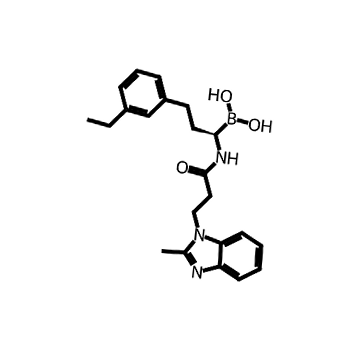 CCc1cccc(CC[C@H](NC(=O)CCn2c(C)nc3ccccc32)B(O)O)c1